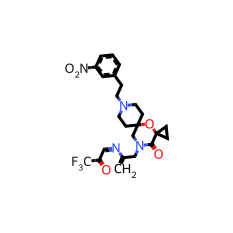 C=C(CN1CC2(CCN(CCc3cccc([N+](=O)[O-])c3)CC2)OC2(CC2)C1=O)/N=C\C(=O)C(F)(F)F